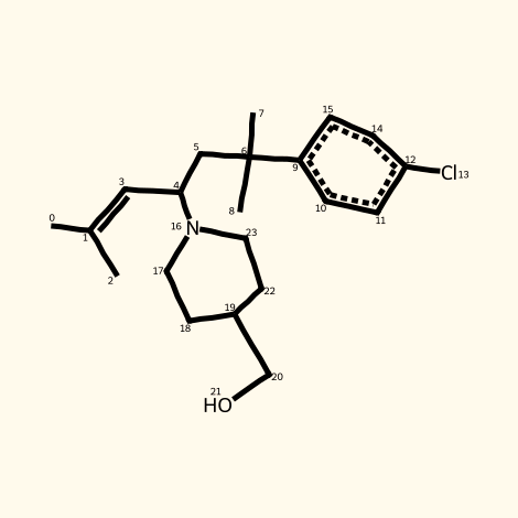 CC(C)=CC(CC(C)(C)c1ccc(Cl)cc1)N1CCC(CO)CC1